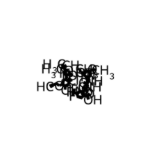 C#CCOc1cc(-n2nc(C(C)(C)C)oc2=O)c(Cl)cc1Cl.COc1cc(OC)nc(NC(=O)NS(=O)(=O)c2nc(C(F)(F)F)ccc2C(=O)O)n1